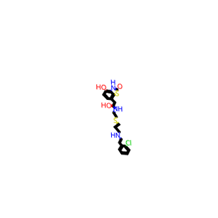 O=c1[nH]c2c(O)ccc(CC(O)NCCSCCCNCCc3ccccc3Cl)c2s1